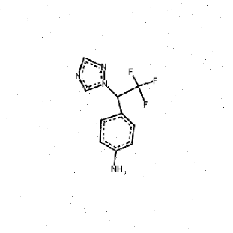 Nc1ccc(C(n2cncn2)C(F)(F)F)cc1